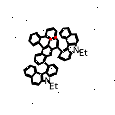 CCn1c2cccc(-c3cccc4c(-c5ccccc5-c5ccccc5)c5cccc(-c6cccc7c6c6c8ccccc8ccc6n7CC)c5cc34)c2c2c3ccccc3ccc21